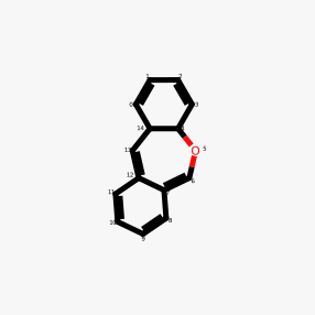 [C]1=CC=CC2OC=c3ccccc3=CC12